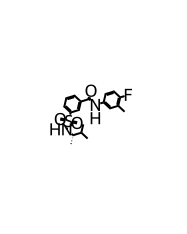 Cc1cc(NC(=O)c2cccc(S(=O)(=O)N[C@@H](C)C(C)C)c2)ccc1F